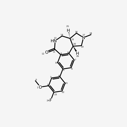 COc1cc(-c2ccc3c(c2)C(=O)NC[C@H]2CN(C)C[C@H]32)ccc1F